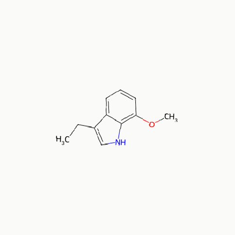 CCc1c[nH]c2c(OC)cccc12